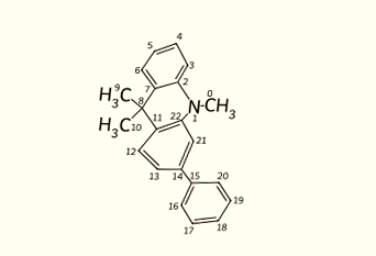 CN1c2ccccc2C(C)(C)c2ccc(-c3ccccc3)cc21